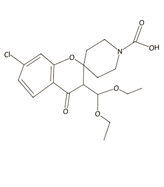 CCOC(OCC)C1C(=O)c2ccc(Cl)cc2OC12CCN(C(=O)O)CC2